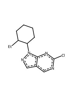 CCC1CCCCC1n1ncc2cnc(Cl)nc21